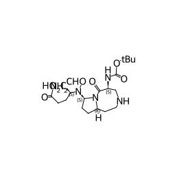 CC(C)(C)OC(=O)N[C@H]1CNCC[C@H]2CC[C@@H](N(C=O)[C@@H](CCC(N)=O)C(=O)O)N2C1=O